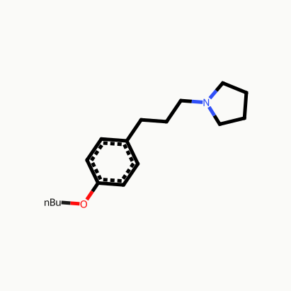 CCCCOc1ccc(CCCN2CCCC2)cc1